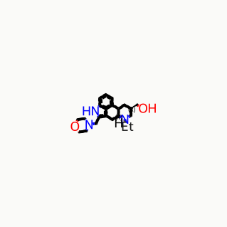 CCN1C[C@H](CO)CC2c3cccc4[nH]c(CN5CCOCC5)c(c34)C[C@H]21